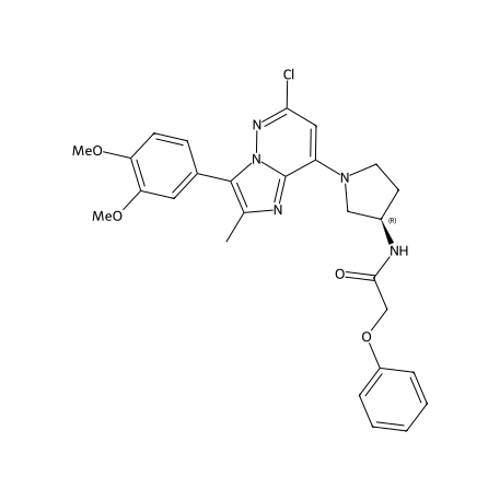 COc1ccc(-c2c(C)nc3c(N4CC[C@@H](NC(=O)COc5ccccc5)C4)cc(Cl)nn23)cc1OC